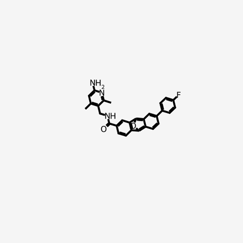 Cc1cc(N)nc(C)c1CNC(=O)c1ccc2c(c1)c1oc2c2ccc(-c3ccc(F)cc3)cc21